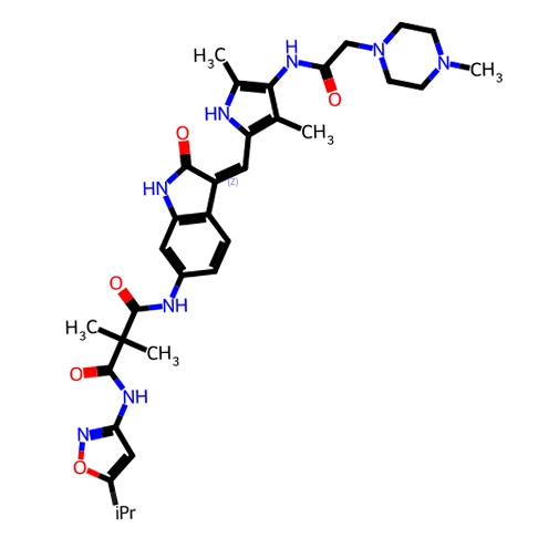 Cc1[nH]c(/C=C2\C(=O)Nc3cc(NC(=O)C(C)(C)C(=O)Nc4cc(C(C)C)on4)ccc32)c(C)c1NC(=O)CN1CCN(C)CC1